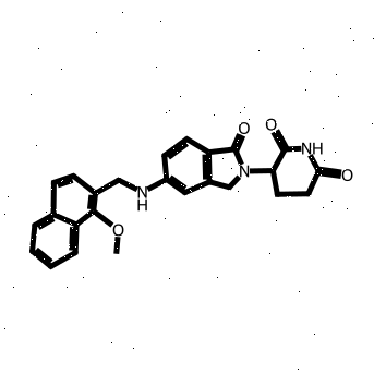 COc1c(CNc2ccc3c(c2)CN(C2CCC(=O)NC2=O)C3=O)ccc2ccccc12